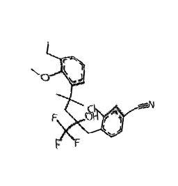 CCc1cccc(C(C)(C)CC(O)(Cc2ccc(C#N)cc2Cl)C(F)(F)F)c1OC